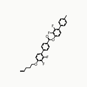 C=CCCCOc1ccc(-c2ccc(C(=O)Oc3ccc(-c4ccc(C)cc4)c(F)c3F)cc2)c(F)c1F